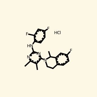 Cc1nc(Nc2ccc(F)cc2F)nc(N2CCc3ccc(F)cc3C2C)c1C.Cl